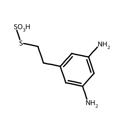 Nc1cc(N)cc(CCSS(=O)(=O)O)c1